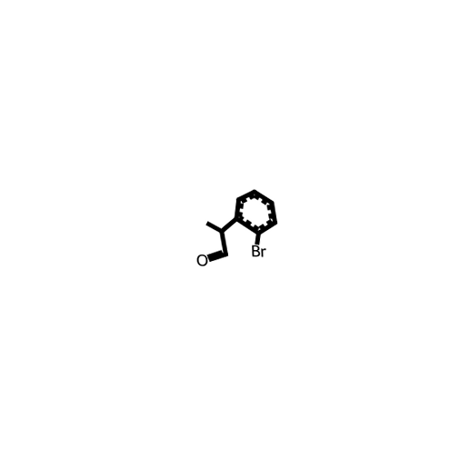 CC(C=O)c1ccccc1Br